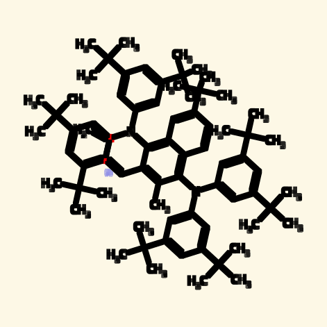 C=C/C=C\c1c(C)c(N(c2cc(C(C)(C)C)cc(C(C)(C)C)c2)c2cc(C(C)(C)C)cc(C(C)(C)C)c2)c2ccc(C(C)(C)C)cc2c1N(c1cc(C(C)(C)C)cc(C(C)(C)C)c1)c1cc(C(C)(C)C)cc(C(C)(C)C)c1